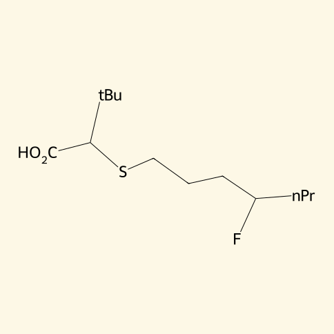 CCCC(F)CCCSC(C(=O)O)C(C)(C)C